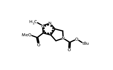 COC(=O)c1c2c(nn1C)CN(C(=O)OC(C)(C)C)C2